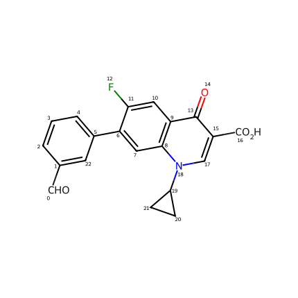 O=Cc1cccc(-c2cc3c(cc2F)c(=O)c(C(=O)O)cn3C2CC2)c1